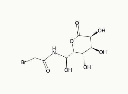 O=C(CBr)NC(O)[C@@H]1OC(=O)[C@@H](O)[C@@H](O)[C@@H]1O